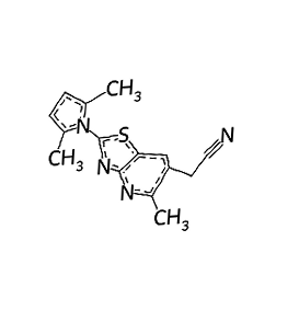 Cc1nc2nc(-n3c(C)ccc3C)sc2cc1CC#N